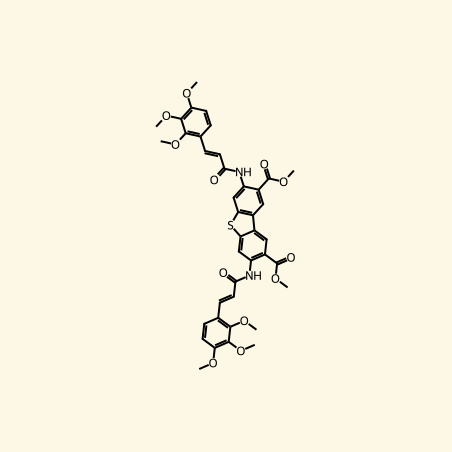 COC(=O)c1cc2c(cc1NC(=O)C=Cc1ccc(OC)c(OC)c1OC)sc1cc(NC(=O)C=Cc3ccc(OC)c(OC)c3OC)c(C(=O)OC)cc12